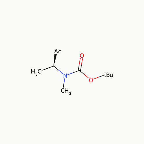 CC(=O)[C@H](C)N(C)C(=O)OC(C)(C)C